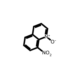 O=[N+]([O-])c1cccc2ccc[n+]([O-])c12